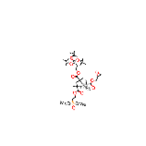 CCCC(C)(CC(C)(CC(C)(CC)C(=O)OCC1CO1)C(=O)OCC[Si](O[Si](C)(C)C)(O[Si](C)(C)C)O[Si](C)(C)C)C(=O)OCCP(=O)(OC)OC